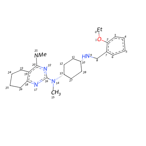 CCOc1ccccc1CN[C@H]1CC[C@@H](N(C)c2nc3c(c(NC)n2)CCCC3)CC1